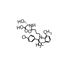 Cc1cccc(C)c1N(CCCC(=O)N[C@@H](CO)C(=O)O)C(=O)c1ccc(Cl)cc1